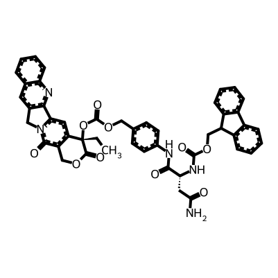 CC[C@@]1(OC(=O)OCc2ccc(NC(=O)[C@@H](CC(N)=O)NC(=O)OCC3c4ccccc4-c4ccccc43)cc2)C(=O)OCc2c1cc1n(c2=O)Cc2cc3ccccc3nc2-1